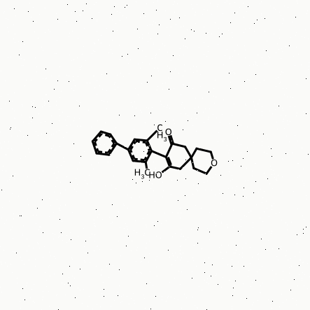 Cc1cc(-c2ccccc2)cc(C)c1C1=C(O)CC2(CCOCC2)CC1=O